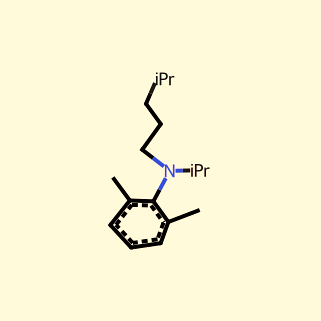 Cc1cccc(C)c1N(CCCC(C)C)C(C)C